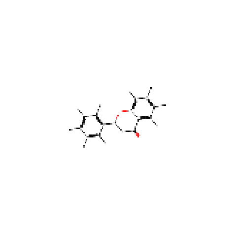 Cc1c(C)c(C)c(C2CC(=O)c3c(C)c(C)c(C)c(C)c3O2)c(C)c1C